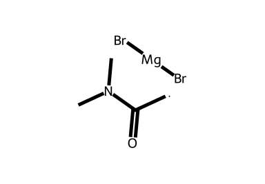 [Br][Mg][Br].[CH2]C(=O)N(C)C